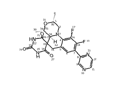 C[C@@H]1CN2c3c(cc(-c4cnccn4)c(F)c3F)CC3(C(=O)NC(=O)NC3=O)[C@H]2[C@H](C)O1